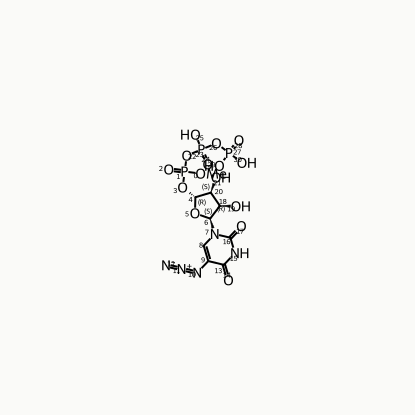 COP(=O)(O[C@H]1O[C@H](n2cc(N=[N+]=[N-])c(=O)[nH]c2=O)[C@H](O)[C@@H]1O)OP(=O)(O)OP(=O)(O)O